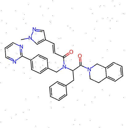 Cn1cc(C=CC(=O)N(Cc2ccc(-c3ncccn3)cc2)C(Cc2ccccc2)C(=O)N2CCc3ccccc3C2)cn1